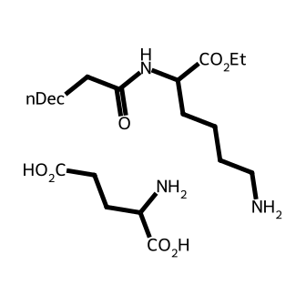 CCCCCCCCCCCC(=O)NC(CCCCN)C(=O)OCC.NC(CCC(=O)O)C(=O)O